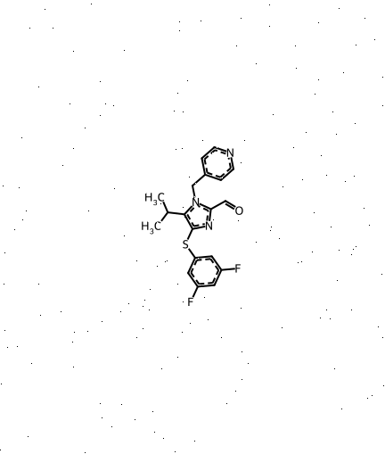 CC(C)c1c(Sc2cc(F)cc(F)c2)nc(C=O)n1Cc1ccncc1